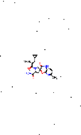 CN[C@@H](CC1CC1)C(=O)N1CC2(C[C@H]1C(N)=O)Oc1nc(C)ccc1NC2=O